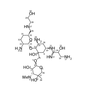 CN[C@@H]1C(O)[C@@H](OCC2(O)C[C@H](NC(=N)C(O)CN)C[C@H](N)C2O[C@H]2O[C@H](CNCCO)CCC2N)OCC1(C)O